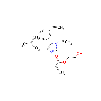 C=C(C)C(=O)O.C=CC(=O)OCCO.C=Cc1ccccc1.C=Cn1ccnc1